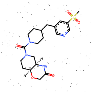 CS(=O)(=O)c1cncc(CC2CCN(C(=O)N3CC[C@@H]4OCC(=O)N[C@@H]4C3)CC2)c1